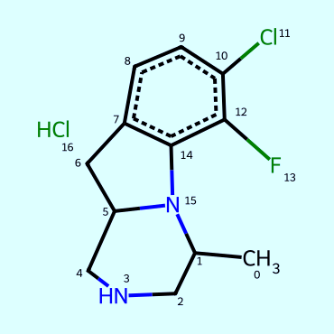 CC1CNCC2Cc3ccc(Cl)c(F)c3N12.Cl